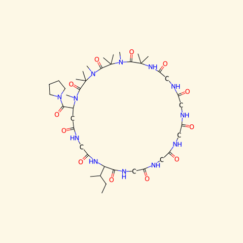 CCC(C)C1NC(=O)CNC(=O)CC(C(=O)N2CCCC2)N(C)C(=O)C(C)(C)N(C)C(=O)C(C)(C)N(C)C(=O)C(C)(C)NC(=O)CNC(=O)CNC(=O)CNC(=O)CNC(=O)CNC1=O